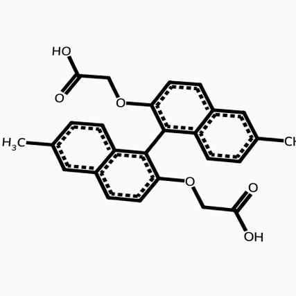 Cc1ccc2c(-c3c(OCC(=O)O)ccc4cc(C)ccc34)c(OCC(=O)O)ccc2c1